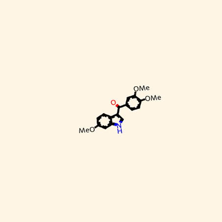 COc1ccc2c(C(=O)c3ccc(OC)c(OC)c3)c[nH]c2c1